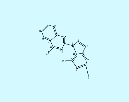 Ic1cc2ccn(-c3cc4ccccc4c(I)n3)c2c(I)n1